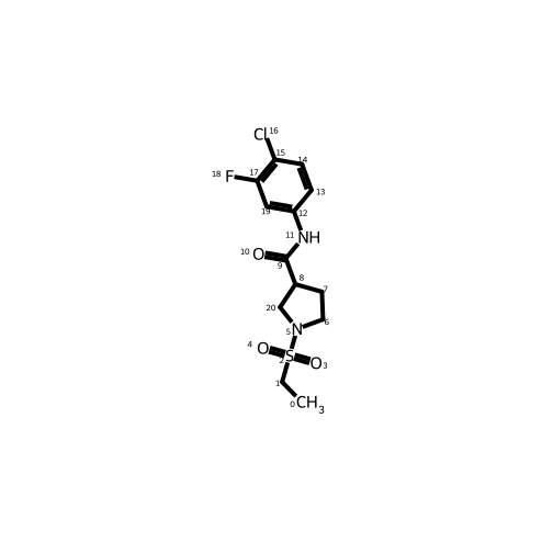 CCS(=O)(=O)N1CCC(C(=O)Nc2ccc(Cl)c(F)c2)C1